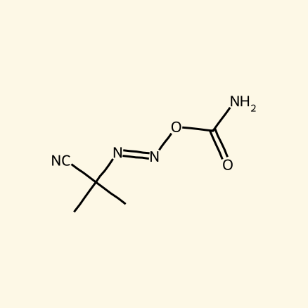 CC(C)(C#N)N=NOC(N)=O